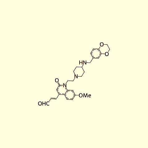 COc1ccc2c(/C=C/C=O)cc(=O)n(CCN3CCC(NCc4ccc5c(c4)OCCO5)CC3)c2c1